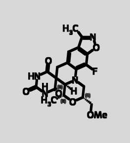 COC[C@H]1CN2c3c(cc4c(C)noc4c3F)CC3(C(=O)NC(=O)NC3=O)[C@@H]2[C@@H](C)O1